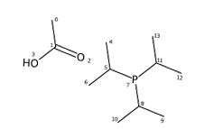 CC(=O)O.CC(C)P(C(C)C)C(C)C